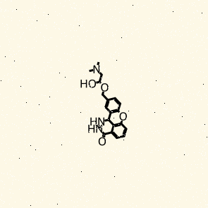 CN(C)CC(O)OCc1ccc2c(c1)C1NNC(=O)c3cccc(c31)O2